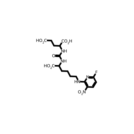 O=C(O)CCC(NC(=O)NC(CCCCNc1nc(F)ccc1[N+](=O)[O-])C(=O)O)C(=O)O